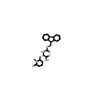 Cn1c(C[C@H](NC(=O)OCC2c3ccccc3-c3ccccc32)C(=O)O)cccc1=O